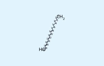 C=CCCCCCC/C=C/CCCCCC/C=C/CO